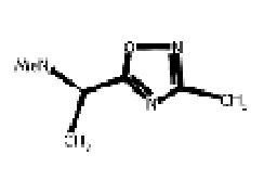 CN[C@H](C)c1nc(C)no1